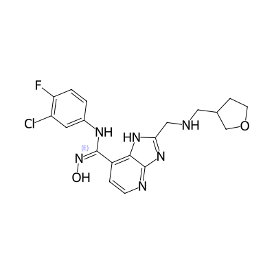 O/N=C(/Nc1ccc(F)c(Cl)c1)c1ccnc2nc(CNCC3CCOC3)[nH]c12